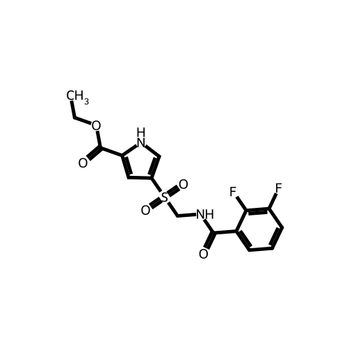 CCOC(=O)c1cc(S(=O)(=O)CNC(=O)c2cccc(F)c2F)c[nH]1